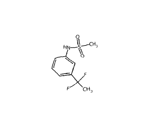 CC(F)(F)c1cccc(NS(C)(=O)=O)c1